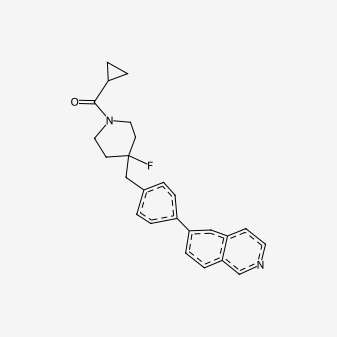 O=C(C1CC1)N1CCC(F)(Cc2ccc(-c3ccc4cnccc4c3)cc2)CC1